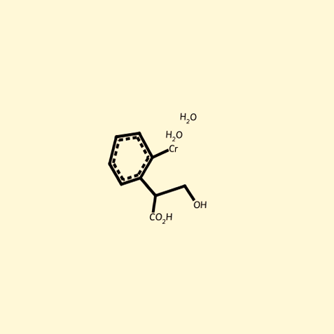 O.O.O=C(O)C(CO)c1cccc[c]1[Cr]